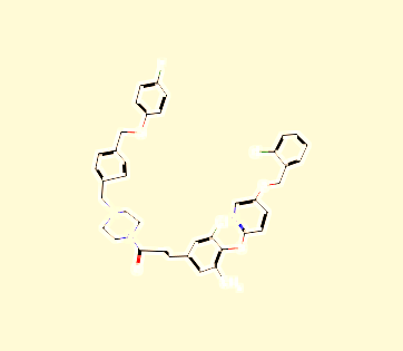 Cc1cc(C=CC(=O)N2CCN(Cc3ccc(COc4ccc(F)cc4)cc3)CC2)cc(Cl)c1Oc1ccc(OCc2ccccc2Cl)cn1